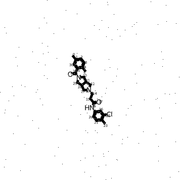 Cc1ccc(C)c(C(=O)N2CC3CN(CCC(=O)Nc4ccc(C)c(Cl)c4)CC3C2)c1